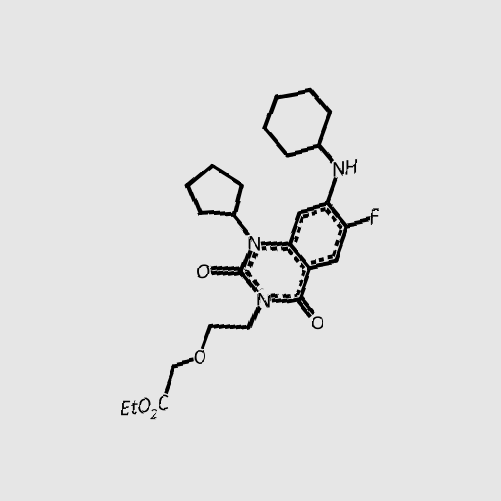 CCOC(=O)COCCn1c(=O)c2cc(F)c(NC3CCCCC3)cc2n(C2CCCC2)c1=O